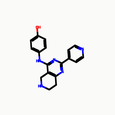 Oc1ccc(Nc2nc(-c3ccncc3)nc3c2CNCC3)cc1